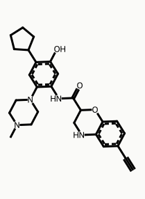 C#Cc1ccc2c(c1)NCC(C(=O)Nc1cc(O)c(C3CCCC3)cc1N1CCN(C)CC1)O2